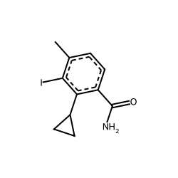 Cc1ccc(C(N)=O)c(C2CC2)c1I